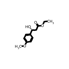 CCOC(=O)C[C@@H](O)c1ccc(OC)cc1